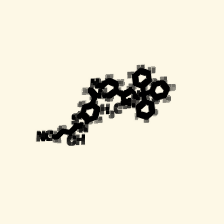 Cc1nn(C(c2ccccc2)(c2ccccc2)C2C=CC=CC2)cc1-c1ccc2ncc(-c3ccc4nc([C@@H](O)CCC#N)sc4c3)n2c1